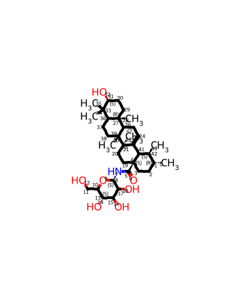 C[C@@H]1CC[C@]2(C(=O)N[C@H]3OC(CO)[C@@H](O)C(O)C3O)CC[C@]3(C)C(=CCC4[C@@]5(C)CC[C@H](O)C(C)(C)C5CC[C@]43C)C2[C@H]1C